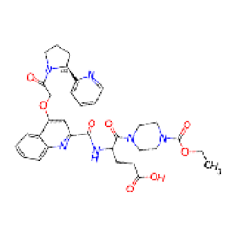 CCOC(=O)N1CCN(C(=O)C(CCC(=O)O)NC(=O)c2cc(OCC(=O)N3CCC[C@H]3c3ccccn3)c3ccccc3n2)CC1